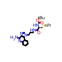 [CH2][CH]CSC[C@H](NC(=O)OC(C)(C)C)C(=O)NCCCn1cnc2c(N)nc3ccccc3c21